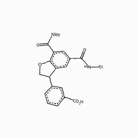 CCNC(=O)c1cc(C(=O)NC)c2c(c1)C(c1cccc(C(=O)O)c1)CO2